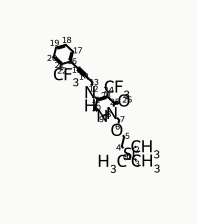 C[Si](C)(C)CCOCn1ncc(NCC#Cc2ccccc2C(F)(F)F)c(C(F)(F)F)c1=O